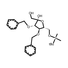 CC(C)(C)[Si](C)(C)OC[C@H]1O[C@](O)(CO)[C@@H](OCc2ccccc2)[C@@H]1OCc1ccccc1